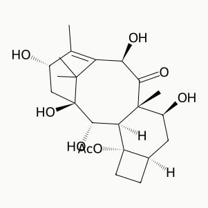 CC(=O)O[C@@]12CC[C@@H]1C[C@H](O)[C@@]1(C)C(=O)[C@H](O)C3=C(C)[C@@H](O)C[C@@](O)([C@@H](O)[C@H]21)C3(C)C